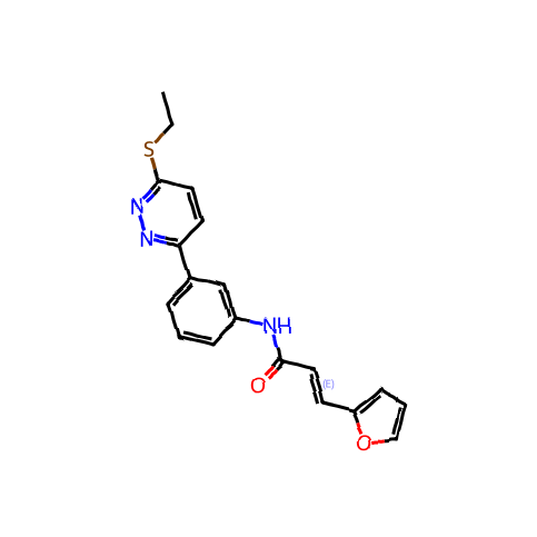 CCSc1ccc(-c2cccc(NC(=O)/C=C/c3ccco3)c2)nn1